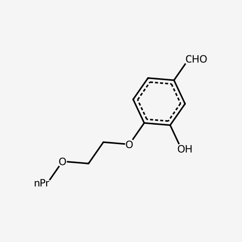 CCCOCCOc1ccc(C=O)cc1O